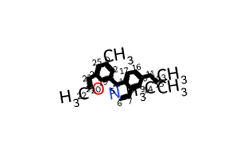 Cc1cc(-c2nccc3cc(CC(C)(C)C)ccc23)c2oc(C)cc2c1